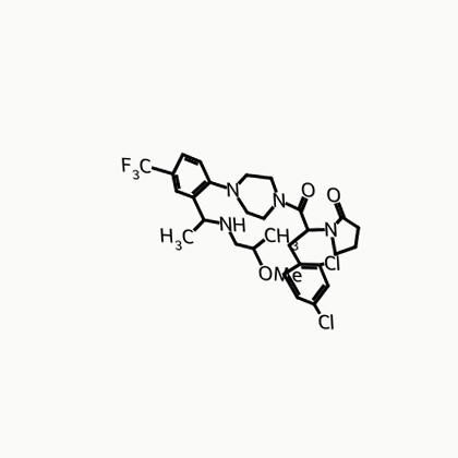 COC(C)CNC(C)c1cc(C(F)(F)F)ccc1N1CCN(C(=O)C(Cc2ccc(Cl)cc2Cl)N2CCCC2=O)CC1